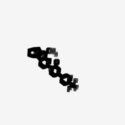 Cn1c2c(c3ccc(-n4ccc(-c5ccc(C(F)(F)F)nc5)cc4=O)nc31)C1CCC(C2)N1